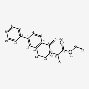 C=C1c2ccc(-c3ccccc3)cc2CCN1C(C)C(=O)OCC